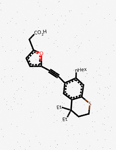 CCCCCCc1cc2c(cc1C#Cc1ccc(CC(=O)O)o1)C(CC)(CC)CCS2